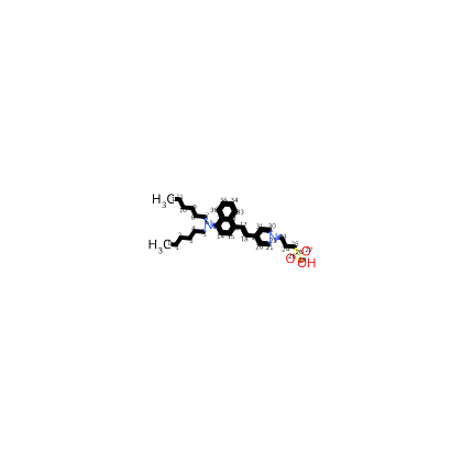 CCCCCCN(CCCCCC)c1ccc(/C=C/c2cc[n+](CCCS(=O)(=O)O)cc2)c2ccccc12